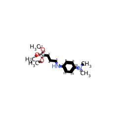 CO[Si](CCCNc1ccc(N(C)C)cc1)(OC)OC